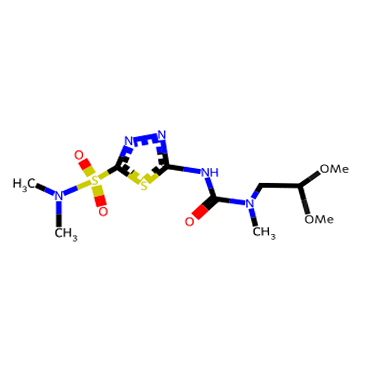 COC(CN(C)C(=O)Nc1nnc(S(=O)(=O)N(C)C)s1)OC